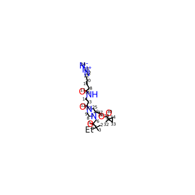 CCC(C)(C)C(=O)CN1CCN(C(=O)CCNC(=O)CCCCN=[N+]=[N-])CC1COC(=O)C1(C)CC1